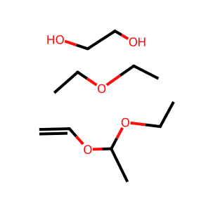 C=COC(C)OCC.CCOCC.OCCO